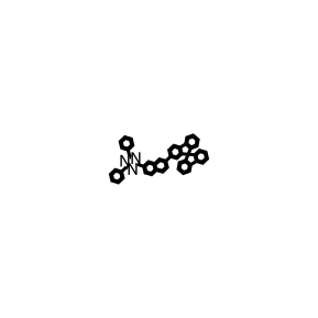 c1ccc(-c2nc(-c3ccccc3)nc(-c3ccc4ccc(-c5ccc6c(c5)C5(c7ccccc7-c7ccccc75)c5ccccc5-6)cc4c3)n2)cc1